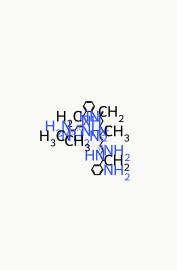 C=C(CCN(C)/C(N)=C/C=C(\N)NC(=C)c1ccccc1N)Nc1ccccc1C(=C)N/C(N)=C/C=C(\N)N(C)C